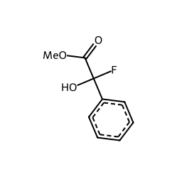 COC(=O)C(O)(F)c1ccccc1